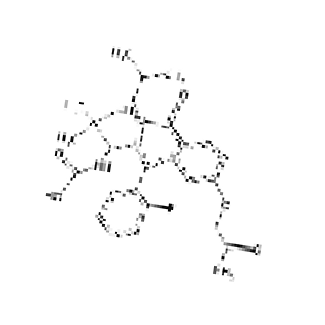 CC(C)Cn1c(C(NC(=O)O)C(C)(C)C)c(-c2ccccc2F)c2cc(OCC(N)=O)ccc2c1=O